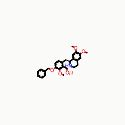 COc1cc2c(cc1OC)[C@H](Cc1ccc(OCc3ccccc3)c(OC)c1CO)NCC2